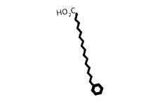 O=C(O)CCCCCCCCCCCCCCCCc1ccccc1